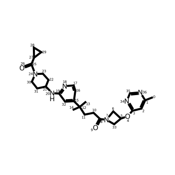 Cc1cc(OC2CN(C(=O)CCC(C)(C)c3ccnc(NC4CCN(C(=O)C5CC5)CC4)c3)C2)ncn1